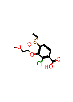 CC[S+]([O-])c1ccc(C(=O)O)c(Cl)c1OCCOC